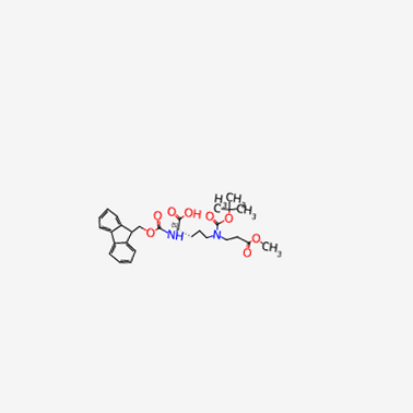 COC(=O)CCN(CCC[C@H](NC(=O)OCC1c2ccccc2-c2ccccc21)C(=O)O)C(=O)OC(C)(C)C